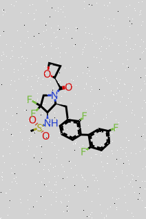 CS(=O)(=O)N[C@@H]1[C@H](Cc2cccc(-c3cc(F)ccc3F)c2F)N(C(=O)[C@@H]2CCO2)CC1(F)F